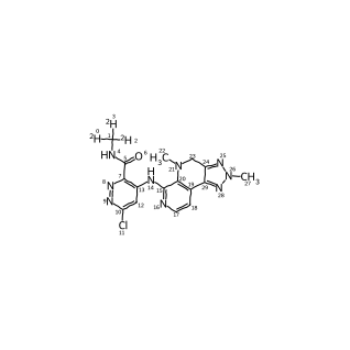 [2H]C([2H])([2H])NC(=O)c1nnc(Cl)cc1Nc1nccc2c1N(C)Cc1nn(C)nc1-2